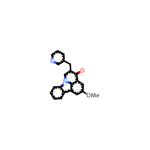 COc1cc2c(=O)c(Cc3cccnc3)cn3c4ccccc4c(c1)c23